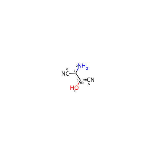 N#CC(N)[C@H](O)C#N